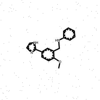 COc1ccc(-c2ncc[nH]2)cc1CNc1[c]cccc1